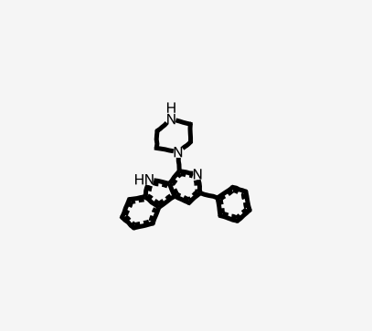 c1ccc(-c2cc3c([nH]c4ccccc43)c(N3CCNCC3)n2)cc1